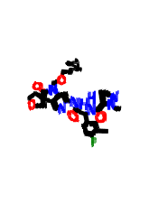 CCn1nccc1C(=O)NC(C(=O)Nc1cc2c(cn1)C1(CCOCC1)C(=O)N2COCC[Si](C)(C)C)c1ccc(F)c(C)c1